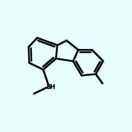 CBc1cccc2c1-c1cc(C)ccc1C2